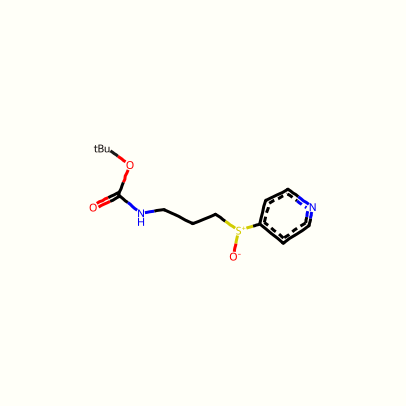 CC(C)(C)OC(=O)NCCC[S+]([O-])c1ccncc1